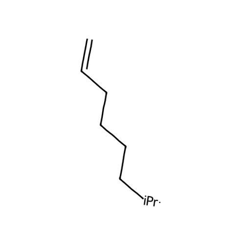 C=CCCCC[C](C)C